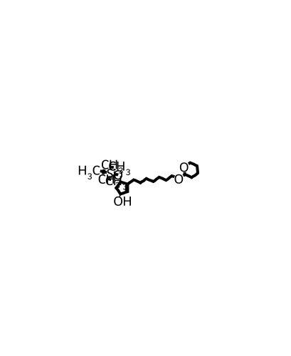 CC(C)(C)[Si](C)(C)O[C@H]1C[C@@H](O)C=C1CCCCCCCOC1CCCCO1